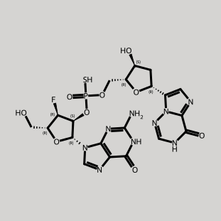 Nc1nc2c(ncn2[C@@H]2O[C@H](CO)[C@@H](F)[C@H]2OP(=O)(S)OC[C@H]2O[C@@H](c3cnc4c(=O)[nH]cnn34)C[C@@H]2O)c(=O)[nH]1